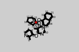 Cc1ncccc1Oc1ncnc(OC2CC3CCC(C2)N3C(=O)Oc2cccc3ccccc23)c1C